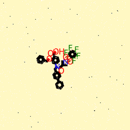 O=C(O)c1ccc(N(Cc2ccc(C3CCCCC3)cc2)C(=O)C2CN(S(=O)(=O)c3c(F)c(F)c(F)c(F)c3F)C2)cc1OCc1ccccc1